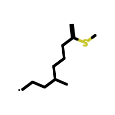 [CH2]CCC(C)CCCC(=C)SC